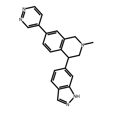 CN1Cc2cc(-c3ccnnc3)ccc2C(c2ccc3cn[nH]c3c2)C1